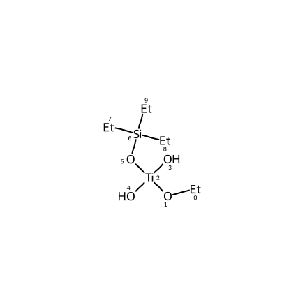 CC[O][Ti]([OH])([OH])[O][Si](CC)(CC)CC